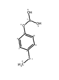 CSc1ccc(OB(O)O)cc1